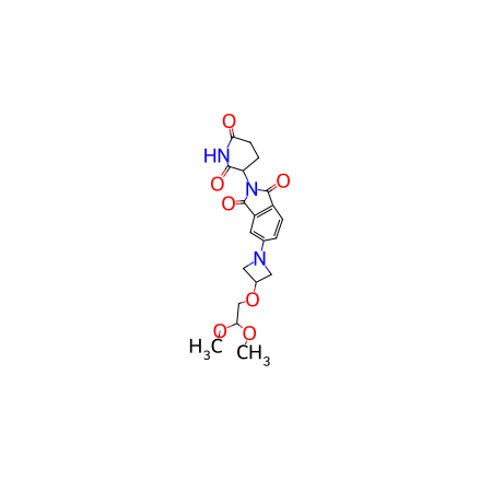 COC(COC1CN(c2ccc3c(c2)C(=O)N(C2CCC(=O)NC2=O)C3=O)C1)OC